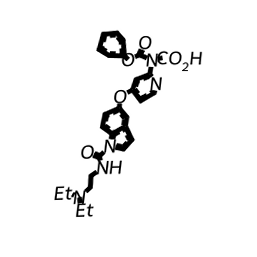 CCN(CC)CCNC(=O)n1ccc2cc(Oc3ccnc(N(C(=O)O)C(=O)Oc4ccccc4)c3)ccc21